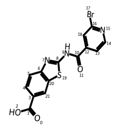 O=C(O)c1ccc2nc(NC(=O)c3ccnc(Br)c3)sc2c1